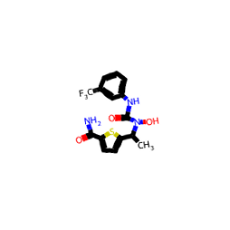 CC(c1ccc(C(N)=O)s1)N(O)C(=O)Nc1cccc(C(F)(F)F)c1